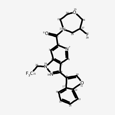 O=C(c1cc2c(cn1)c(-c1coc3ccccc13)nn2CC(F)(F)F)N1CCOCC(F)C1